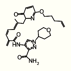 C=CCCCOC1=NC(C/C(C)=C/C=C\C(=C)C(=O)Nc2cn(C3CCOCC3)nc2C(N)=O)C(=O)C=C1